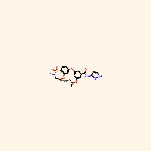 COC[C@H](C)Oc1cc(Oc2ccc3c(c2)OCCN(C)S3(=O)=O)cc(C(=O)Nc2cc[nH]n2)c1